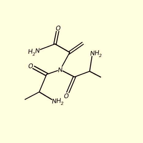 C=C(C(N)=O)N(C(=O)C(C)N)C(=O)C(C)N